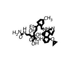 CCC(CC[C@@](O)([C@H](O)CO)[C@H](O)[C@@H](O)CNC(N)=O)c1ccc(C)cc1CNC1(c2cnccc2-c2ccccc2OC2CC2)CC1